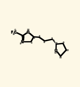 FC(F)(F)C1=NCC(CCC[C@@H]2CCCO2)O1